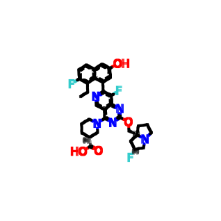 CCc1c(F)ccc2cc(O)cc(-c3ncc4c(N5CCC[C@@H](C(=O)O)C5)nc(OC[C@@]56CCCN5C[C@H](F)C6)nc4c3F)c12